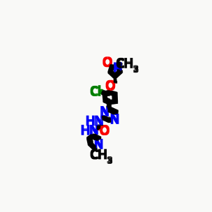 Cc1ccc(NC(=O)Nc2cncc(-c3ccc(OC[C@H]4CC(=O)N(C)C4)c(Cl)c3)n2)cn1